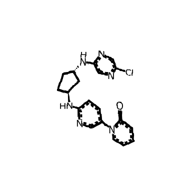 O=c1ccccn1-c1ccc(N[C@H]2CC[C@H](Nc3cnc(Cl)cn3)C2)nc1